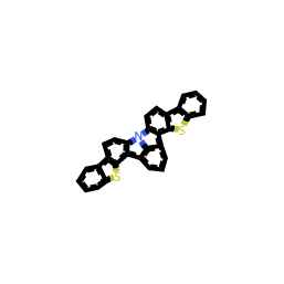 c1ccc2c(c1)sc1c2ccc2c1c1cccc3c4c5sc6ccccc6c5ccc4n2c13